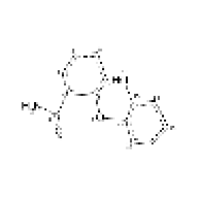 NC(=O)c1ccccc1Oc1ccccc1O